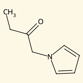 CCC(=O)Cn1cccc1